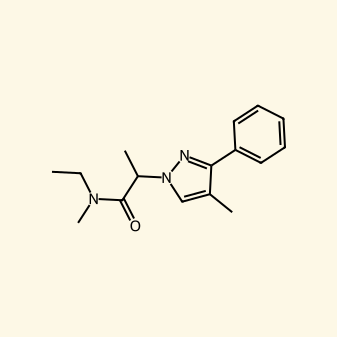 CCN(C)C(=O)C(C)n1cc(C)c(-c2ccccc2)n1